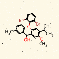 COc1cc(C(O)c2cccc(C)c2)c(Oc2c(Br)c[c]cc2Br)cc1C(C)C